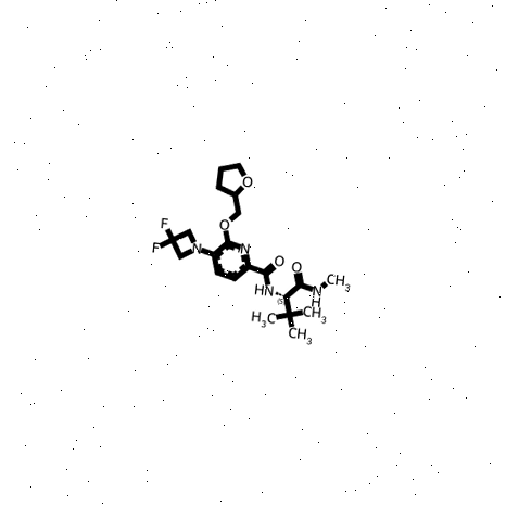 CNC(=O)[C@@H](NC(=O)c1ccc(N2CC(F)(F)C2)c(OCC2CCCO2)n1)C(C)(C)C